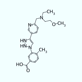 CCN(CCOC)Cc1ccc(C2=CN(c3cc(C(=O)O)ccc3C)NN2)cn1